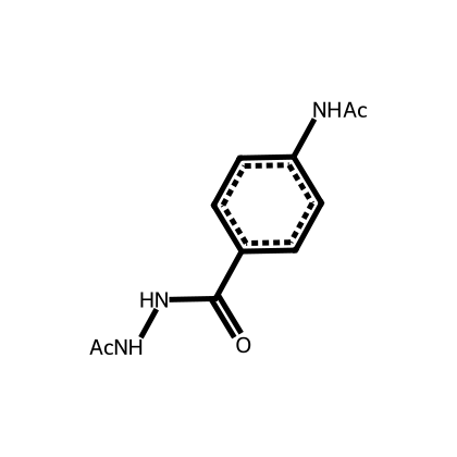 CC(=O)NNC(=O)c1ccc(NC(C)=O)cc1